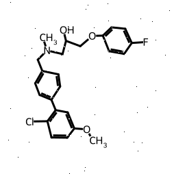 COc1ccc(Cl)c(-c2ccc(CN(C)CC(O)COc3ccc(F)cc3)cc2)c1